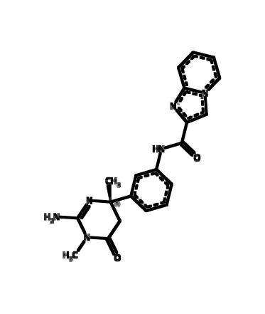 CN1C(=O)C[C@@](C)(c2cccc(NC(=O)c3cn4ccccc4n3)c2)N=C1N